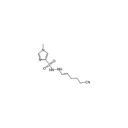 Cn1cnc(S(=O)(=O)NNCCCCCC#N)c1